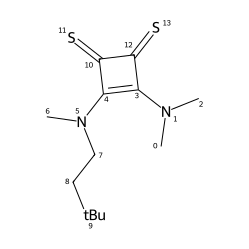 CN(C)c1c(N(C)CCC(C)(C)C)c(=S)c1=S